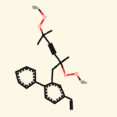 C=Cc1ccc(-c2ccccc2)c(CC(C)(C#CC(C)(C)OOC(C)(C)C)OOC(C)(C)C)c1